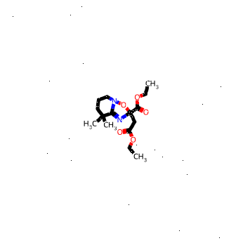 CCOC(=O)CC1(C(=O)OCC)N=C2N(CCCC2(C)C)O1